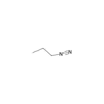 CCC[N+]#N